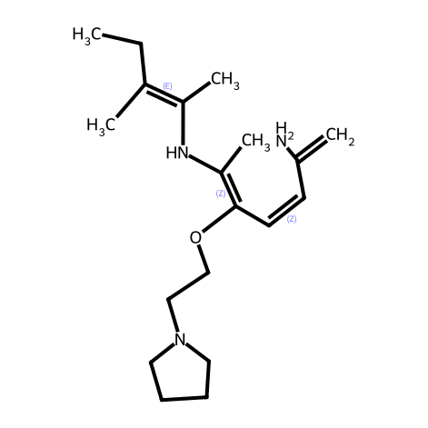 C=C(N)/C=C\C(OCCN1CCCC1)=C(/C)N/C(C)=C(\C)CC